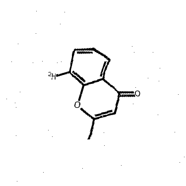 [2H]c1cccc2c(=O)cc(C)oc12